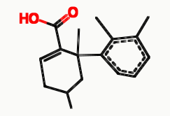 Cc1cccc(C2(C)CC(C)CC=C2C(=O)O)c1C